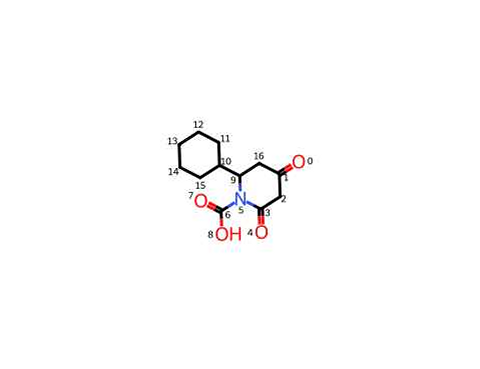 O=C1CC(=O)N(C(=O)O)C(C2CCCCC2)C1